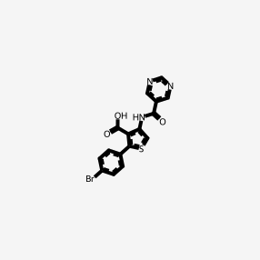 O=C(Nc1csc(-c2ccc(Br)cc2)c1C(=O)O)c1cncnc1